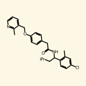 Cc1cc(Cl)ccc1C(CC(C)C)NC(=O)Cc1ccc(OCc2cccnc2C)cc1